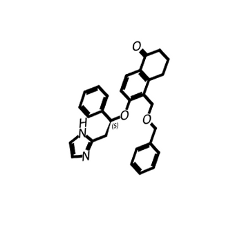 O=C1CCCc2c1ccc(O[C@@H](Cc1ncc[nH]1)c1ccccc1)c2COCc1ccccc1